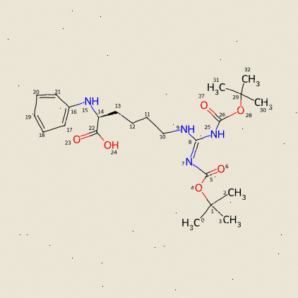 CC(C)(C)OC(=O)N=C(NCCCC[C@H](Nc1ccccc1)C(=O)O)NC(=O)OC(C)(C)C